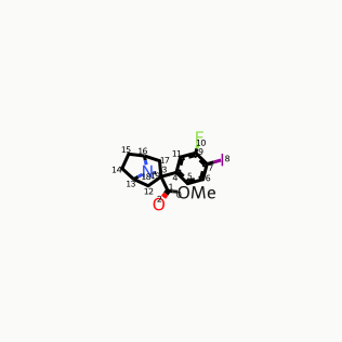 COC(=O)C1(c2ccc(I)c(F)c2)CC2CCC(C1)N2C